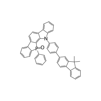 CC1(C)c2ccccc2-c2ccc(-c3ccc(-n4c5ccccc5c5ccc6c(c54)P(=O)(c4ccccc4)c4ccccc4-6)cc3)cc21